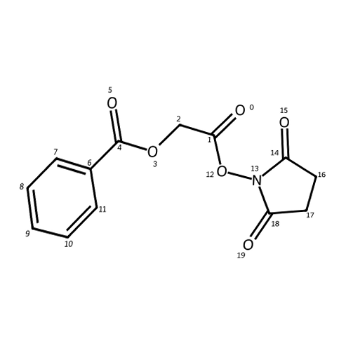 O=C(COC(=O)c1ccccc1)ON1C(=O)CCC1=O